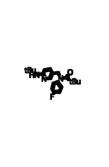 CC(C)(C)Nc1ccc(CN(C(=O)C(C)(C)C)c2ccc(F)cc2)cn1